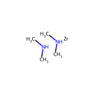 CNC.CNC.[Zr]